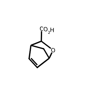 O=C(O)C1OC2C=CC1C2